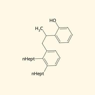 CCCCCCCc1cccc(CC(C)c2ccccc2O)c1CCCCCCC